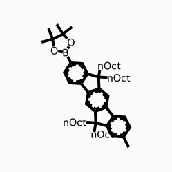 CCCCCCCCC1(CCCCCCCC)c2cc(C)ccc2-c2cc3c(cc21)-c1ccc(B2OC(C)(C)C(C)(C)O2)cc1C3(CCCCCCCC)CCCCCCCC